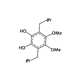 COc1c(CC(C)C)c(O)c(O)c(CC(C)C)c1OC